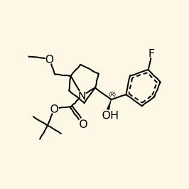 COCC12CCC([C@H](O)c3cccc(F)c3)(CC1)N2C(=O)OC(C)(C)C